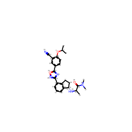 CC(C)Oc1ccc(-c2nc(-c3cccc4c3CC[C@@H]4NC(C)C(=O)N(C)C)no2)cc1C#N